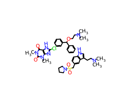 CN(C)CCOC(c1ccccc1)c1ccccc1.CN(C)CCc1c[nH]c2ccc(CS(=O)(=O)N3CCCC3)cc12.Cn1c(=O)c2[nH]c(Cl)nc2n(C)c1=O